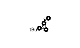 CC(C)(C)c1ccc([S+](c2ccccc2)c2ccc(Sc3ccccc3)cc2)cc1